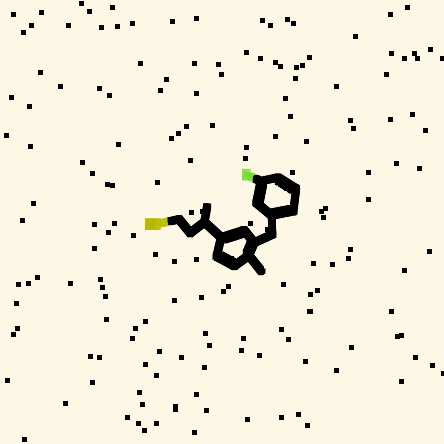 Cc1ccc(C(C)CCS)cc1Cc1cccc(F)c1